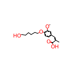 COc1cc(C=C(C)C(=O)O)ccc1OCCCCCCO